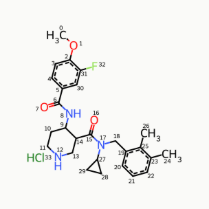 COc1ccc(C(=O)NC2CCNCC2C(=O)N(Cc2cccc(C)c2C)C2CC2)cc1F.Cl